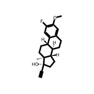 C#C[C@]1(O)CC[C@H]2[C@@H]3CCc4cc(OC)c(F)cc4[C@H]3CC[C@@]21C